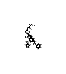 COC(=O)C[C@@H]1CSC(c2cc3cc(CNc4ccccc4)cc(NC4CCCC4)c3[nH]2)=N1